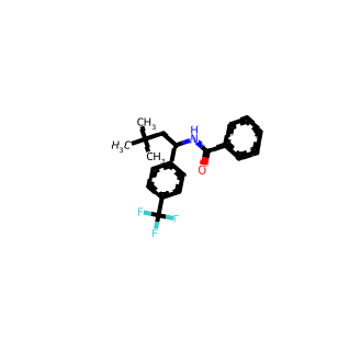 CC(C)(C)CC(NC(=O)c1ccccc1)c1ccc(C(F)(F)F)cc1